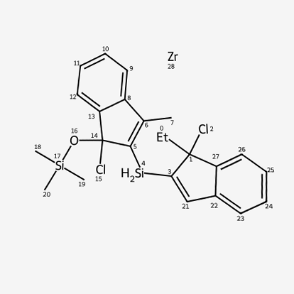 CCC1(Cl)C([SiH2]C2=C(C)c3ccccc3C2(Cl)O[Si](C)(C)C)=Cc2ccccc21.[Zr]